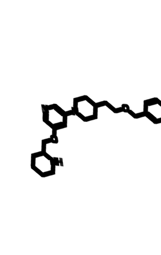 c1ccc(COCCC2CCN(c3cncc(OCC4CCCCN4)c3)CC2)cc1